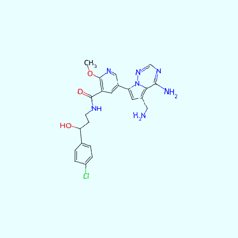 COc1ncc(-c2cc(CN)c3c(N)ncnn23)cc1C(=O)NCCC(O)c1ccc(Cl)cc1